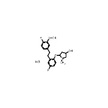 COc1cc(CCc2cc(F)ccc2OC2CC(O)CN2C)ccc1F.Cl